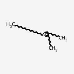 CCCCCCCCCCCCCCCC[n+]1ccc(CCCCCC)c(CCCCCC)c1